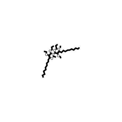 CCCCCCCCCCC(OCC)=C(OCC)C(OCCC)OC(OCCC)C(OCC)=C(CCCCCCCCCC)OCC